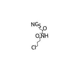 CC(C)(NC(=O)CCCCl)C(=O)CSC#N